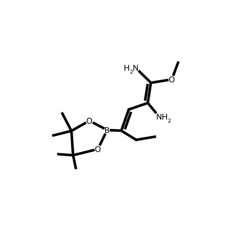 CC/C(=C\C(N)=C(/N)OC)B1OC(C)(C)C(C)(C)O1